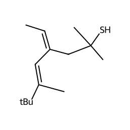 C/C=C(\C=C(/C)C(C)(C)C)CC(C)(C)S